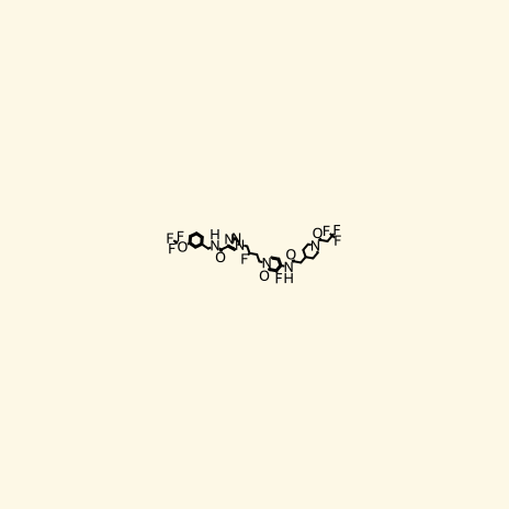 O=C(CC1CCN(C(=O)CC(F)(F)F)CC1)Nc1ccn(CCC(F)Cn2cc(C(=O)NCc3cccc(OC(F)(F)F)c3)nn2)c(=O)c1F